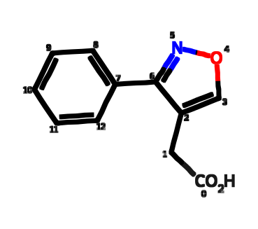 O=C(O)Cc1conc1-c1ccccc1